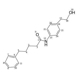 O=C(CCCCc1ccccc1)Nc1ccc(CCO)cc1